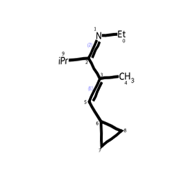 CC/N=C(\C(C)=C\C1CC1)C(C)C